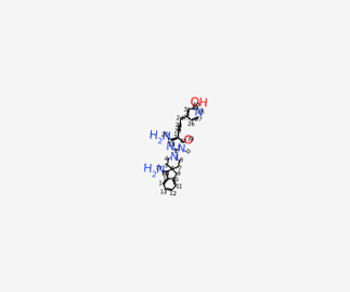 Cn1c(N2CCC3(CC2)Cc2ccccc2[C@H]3N)nc(N)c(C#CCc2ccnc(O)c2)c1=O